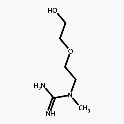 CN(CCOCCO)C(=N)N